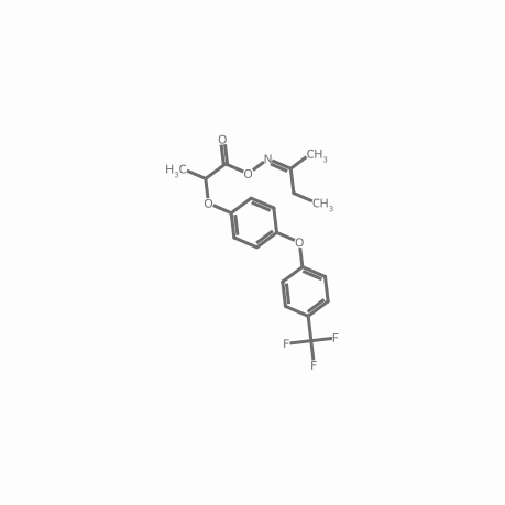 CCC(C)=NOC(=O)C(C)Oc1ccc(Oc2ccc(C(F)(F)F)cc2)cc1